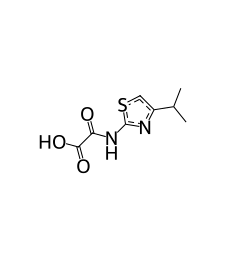 CC(C)c1csc(NC(=O)C(=O)O)n1